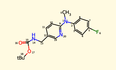 CN(c1ccc(F)cc1)c1ccc(CNC(=O)OC(C)(C)C)cn1